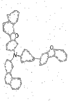 c1ccc2c(c1)ccc1ccc(N(c3ccc(-c4ccc5c(c4)oc4ccccc45)cc3)c3ccc4c(c3)oc3c5ccccc5ccc43)cc12